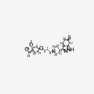 COc1cc(OCCCN2CCC(c3n[nH]c4cc(F)ccc34)CC2)ccc1C(C)=O